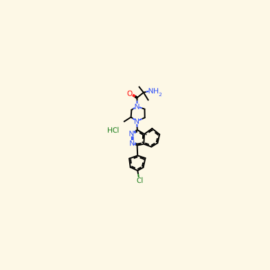 CC1CN(C(=O)C(C)(C)N)CCN1c1nnc(-c2ccc(Cl)cc2)c2ccccc12.Cl